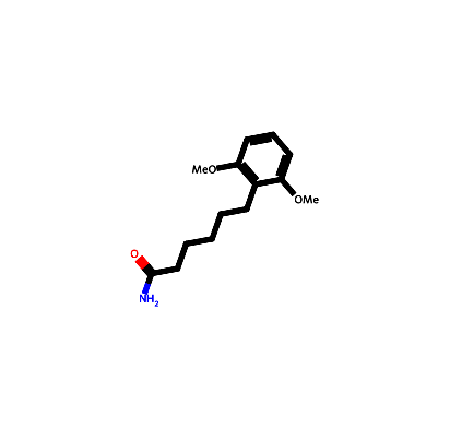 COc1cccc(OC)c1CCCCCC(N)=O